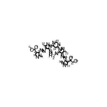 COC(=O)c1cnn(C)c1/N=N/c1c(C)nn(-c2cc(-n3nc(C)c(/N=N/c4c(C(=O)C=O)cnn4C)c3N)ncn2)c1N